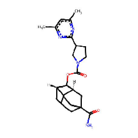 Cc1cc(C)nc(C2CCN(C(=O)OC3[C@@H]4CC5C[C@H]3CC(C(N)=O)(C5)C4)C2)n1